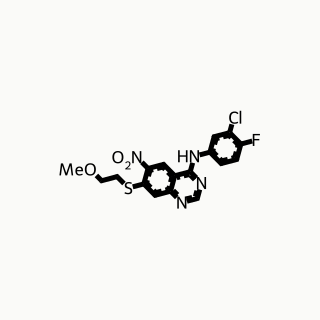 COCCSc1cc2ncnc(Nc3ccc(F)c(Cl)c3)c2cc1[N+](=O)[O-]